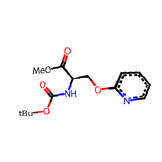 COC(=O)[C@@H](COc1ccccn1)NC(=O)OC(C)(C)C